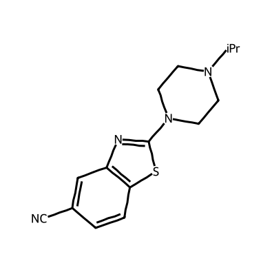 CC(C)N1CCN(c2nc3cc(C#N)ccc3s2)CC1